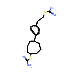 N=C(N)SCCc1ccc(C2CCCC(SC(=N)N)CCC2)cc1